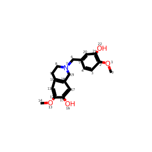 COc1ccc(CN2CCc3cc(OC)c(O)cc3C2)cc1O